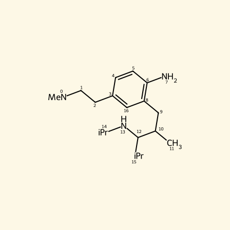 CNCCc1ccc(N)c(CC(C)C(NC(C)C)C(C)C)c1